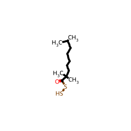 CC(C)CCCCCC(C)(C)C(=O)SS